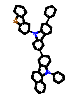 c1ccc(-c2ccc3c4cc(-c5ccc6c(c5)c5ccc7ccccc7c5n6-c5ccccc5)ccc4n(-c4ccc5sc6ccccc6c5c4)c3c2)cc1